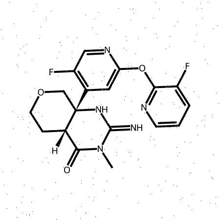 CN1C(=N)N[C@@]2(c3cc(Oc4ncccc4F)ncc3F)COCC[C@H]2C1=O